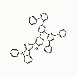 c1ccc(-c2cc(-c3ccccc3)cc(-c3cc(-c4ccccc4-c4ccccc4)ccc3-c3ccc4sc5c(ccc6c5c5ccccc5n6-c5ccccc5)c4c3)c2)cc1